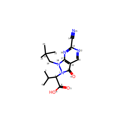 CC(C)C(C(=O)O)n1c(=O)c2cnc(C#N)nc2n1CC(C)(C)C